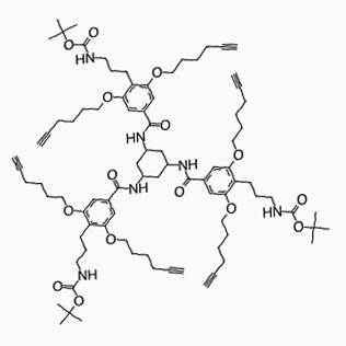 C#CCCCCOc1cc(C(=O)NC2CC(NC(=O)c3cc(OCCCCC#C)c(CCCNC(=O)OC(C)(C)C)c(OCCCCC#C)c3)CC(NC(=O)c3cc(OCCCCC#C)c(CCCNC(=O)OC(C)(C)C)c(OCCCCC#C)c3)C2)cc(OCCCCC#C)c1CCCNC(=O)OC(C)(C)C